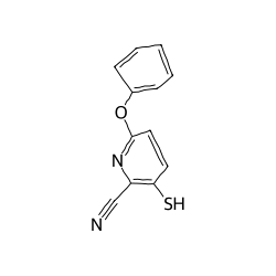 N#Cc1nc(Oc2ccccc2)ccc1S